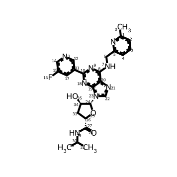 Cc1cccc(CNc2nc(-c3cncc(F)c3)nc3c2ncn3[C@@H]2O[C@H](C(=O)NC(C)C)C[C@H]2O)n1